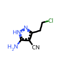 N#Cc1c(CCCl)n[nH]c1N